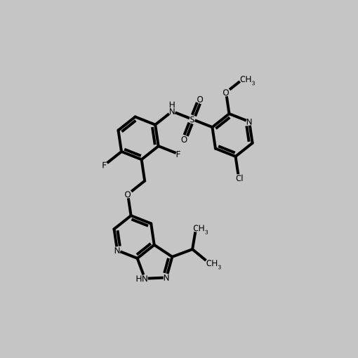 COc1ncc(Cl)cc1S(=O)(=O)Nc1ccc(F)c(COc2cnc3[nH]nc(C(C)C)c3c2)c1F